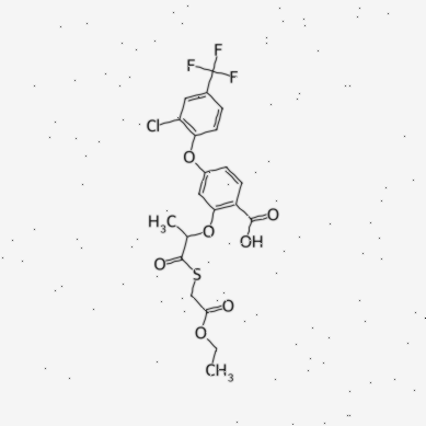 CCOC(=O)CSC(=O)C(C)Oc1cc(Oc2ccc(C(F)(F)F)cc2Cl)ccc1C(=O)O